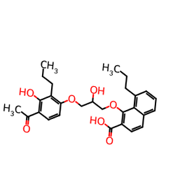 CCCc1c(OCC(O)COc2c(C(=O)O)ccc3cccc(CCC)c23)ccc(C(C)=O)c1O